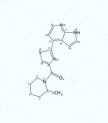 CC1CCCCN1C(=O)c1csc(-c2ccnc3[nH]ccc23)n1